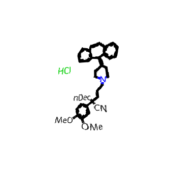 CCCCCCCCCCC(C#N)(CCCN1CCC(=C2c3ccccc3C=Cc3ccccc32)CC1)c1ccc(OC)c(OC)c1.Cl